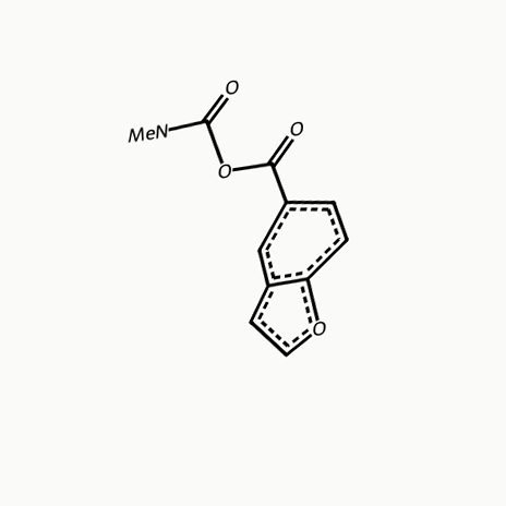 CNC(=O)OC(=O)c1ccc2occc2c1